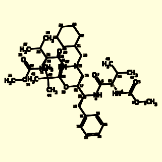 COC(=O)N[C@H](C(=O)N[C@@H](Cc1ccccc1)[C@H](CN(CC1CCCCC1)NC(=O)[C@@H](NC(=O)OC)C(C)C)OC(=O)C(C)(C)C)C(C)C